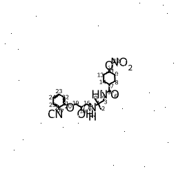 CC(C)(CNC(=O)C1CCC(O[N+](=O)[O-])CC1)NCC(O)COc1ccccc1C#N